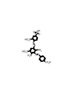 CCCS(=O)(=O)c1ccc(/N=N/c2cc(S(=O)(=O)O)c(N)c(/N=N/c3ccc(C(=O)O)cc3)c2N)c(S(=O)(=O)O)c1